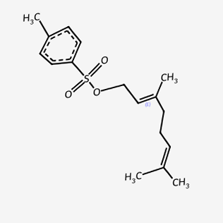 CC(C)=CCC/C(C)=C/COS(=O)(=O)c1ccc(C)cc1